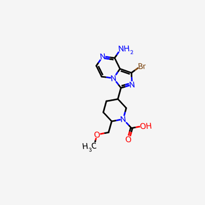 COCC1CCC(c2nc(Br)c3c(N)nccn23)CN1C(=O)O